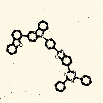 c1ccc(-c2nc(-c3ccccc3)nc(-c3ccc4nc(-c5ccc(-n6c7ccccc7c7cc(-c8cccc9c8oc8ccccc89)ccc76)cc5)oc4c3)n2)cc1